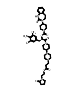 Nc1c(Cl)cc(C[C@@H](OC(=O)N2CCC(N3CCc4ccccc4NC3=O)CC2)C(=O)N2CCC(N3CCN(CCC(=O)OCCN4CCCC4=O)CC3)CC2)cc1C(F)(F)F